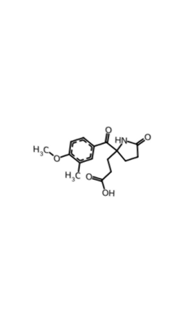 COc1ccc(C(=O)C2(CCC(=O)O)CCC(=O)N2)cc1C